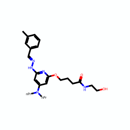 CCCN(CCC)c1cc(N/N=C/c2cccc(C)c2)nc(OCCCC(=O)NCCO)c1